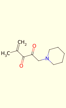 C=C(C)C(=O)C(=O)CN1CCCCC1